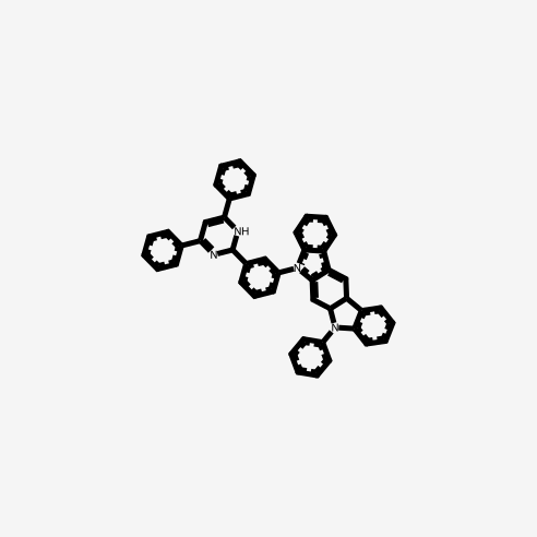 C1=C(c2ccccc2)NC(c2cccc(-n3c4c(c5ccccc53)=CC3c5ccccc5N(c5ccccc5)C3C=4)c2)N=C1c1ccccc1